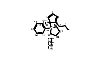 CCCC1=CC=C[C]1([Ti+3])[Si]1(c2ccccc2)CCCC1.[Cl-].[Cl-].[Cl-]